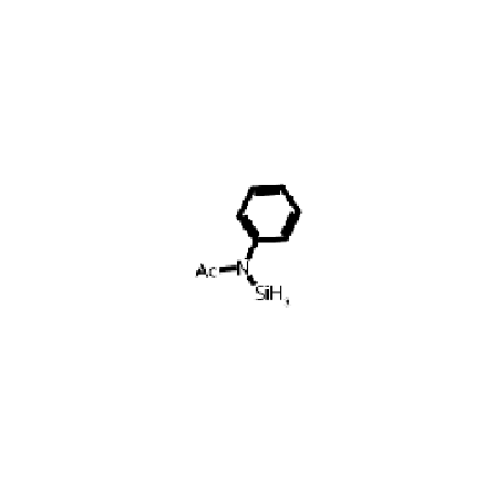 CC(=O)N([SiH3])c1ccccc1